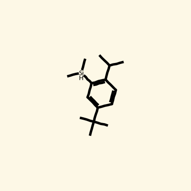 CC(C)c1ccc(C(C)(C)C)cc1[SiH](C)C